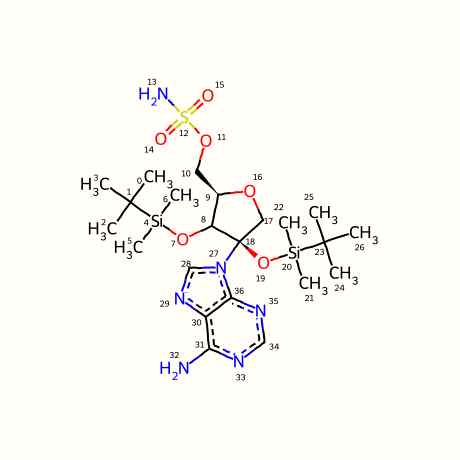 CC(C)(C)[Si](C)(C)OC1[C@@H](COS(N)(=O)=O)OC[C@]1(O[Si](C)(C)C(C)(C)C)n1cnc2c(N)ncnc21